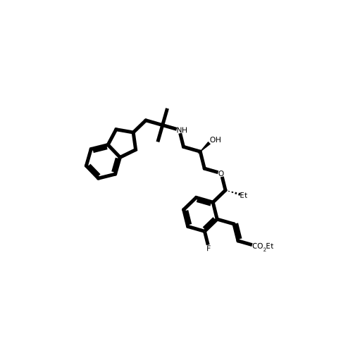 CCOC(=O)/C=C/c1c(F)cccc1[C@@H](CC)OC[C@H](O)CNC(C)(C)CC1Cc2ccccc2C1